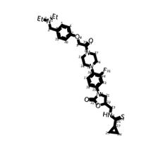 CCN(CC)Cc1ccc(OCC(=O)N2CCN(c3ccc(N4CC(CNC(=S)C5CC5)OC4=O)cc3F)CC2)cc1